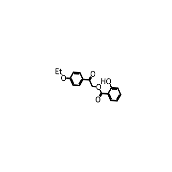 CCOc1ccc(C(=O)COC(=O)c2ccccc2O)cc1